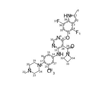 Cc1cc2c(F)c(Oc3ncnc(Nc4ccc(N5CCN(C)CC5)c(C(F)(F)F)c4)c3C(=O)N3CCC3)cc(F)c2[nH]1